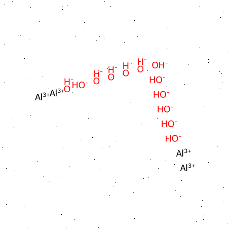 [Al+3].[Al+3].[Al+3].[Al+3].[OH-].[OH-].[OH-].[OH-].[OH-].[OH-].[OH-].[OH-].[OH-].[OH-].[OH-].[OH-]